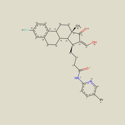 CC(C)c1ccc(NC(=O)CCC[C@@H]2/C(=C/O)C(=O)[C@@]3(C)CCC4c5ccc(F)cc5CCC4C23)nc1